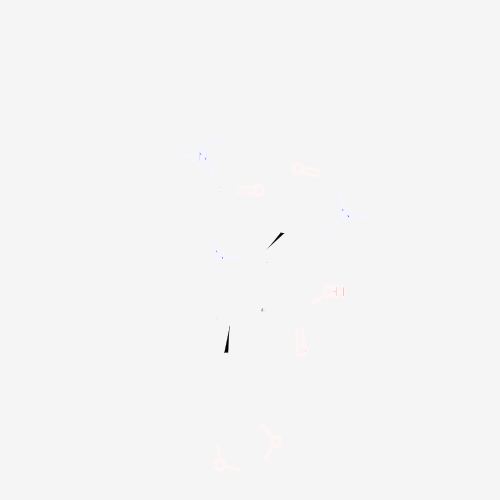 CCCCN(CCCC)C(=O)CN1C[C@H](c2ccc3c(c2)OCO3)[C@@H](C(=O)O)[C@@H]1CCn1ccccc1=O